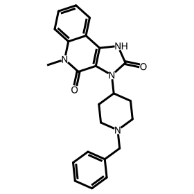 Cn1c(=O)c2c([nH]c(=O)n2C2CCN(Cc3ccccc3)CC2)c2ccccc21